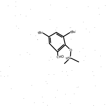 C[SiH](C)Oc1c(C=O)cc(C(C)(C)C)cc1C(C)(C)C